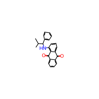 CC(C)C(Nc1cccc2c1C(=O)c1ccccc1C2=O)c1ccccc1